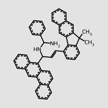 CC1(C)c2cc3ccccc3cc2-c2c(/C=C/C(NC(N)c3ccccc3)c3c4ccccc4cc4c3ccc3ccccc34)cccc21